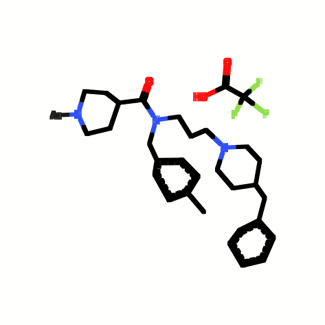 CC(=O)N1CCC(C(=O)N(CCCN2CCC(Cc3ccccc3)CC2)Cc2ccc(C)cc2)CC1.O=C(O)C(F)(F)F